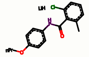 CCCOc1ccc(PC(=O)c2c(C)cccc2Cl)cc1.[LiH]